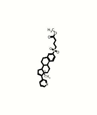 COC(=O)CCCS(=O)(=O)c1ccc2c(c1)CCC1C2CC[C@]2(C)C(c3cccnc3)=CCC12